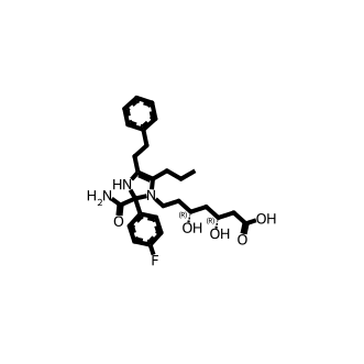 CCCC1=C(CCc2ccccc2)NC(C(N)=O)(c2ccc(F)cc2)N1CC[C@@H](O)C[C@@H](O)CC(=O)O